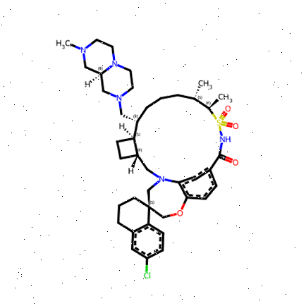 C[C@@H]1[C@@H](C)CCC[C@@H](CN2CCN3CCN(C)C[C@@H]3C2)[C@@H]2CC[C@H]2CN2C[C@@]3(CCCc4cc(Cl)ccc43)COc3ccc(cc32)C(=O)NS1(=O)=O